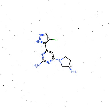 Nc1nc(-c2[nH]ncc2Cl)cc(N2CC[C@@H](N)C2)n1